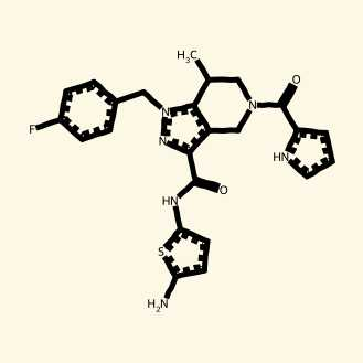 CC1CN(C(=O)c2ccc[nH]2)Cc2c(C(=O)Nc3ccc(N)s3)nn(Cc3ccc(F)cc3)c21